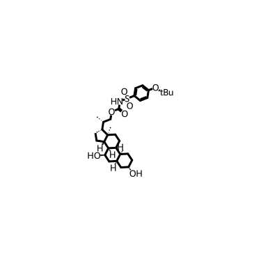 C[C@H](COC(=O)NS(=O)(=O)c1ccc(OC(C)(C)C)cc1)[C@H]1CC[C@H]2[C@@H]3[C@H](O)C[C@@H]4C[C@@H](O)CC[C@]4(C)[C@H]3CC[C@]12C